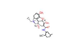 Cc1ccc(C#N)c(NC(=O)C2=C(O)[C@@H]3Oc4c(O)ccc5c4[C@@]34CCN(CC3CC3)[C@H](C5)[C@]4(O)C2)c1